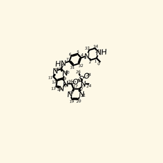 CC1CN(c2ccc(Nc3ncc4cnn(Cc5nccnc5N(C)S(C)(=O)=O)c4n3)cc2)CCN1